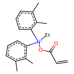 C=CC(=O)O[N+](CC)(c1cccc(C)c1C)c1cccc(C)c1C